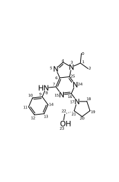 CC(C)n1cnc2c(Nc3ccccc3)nc(N3CCC[C@@H]3CO)nc21